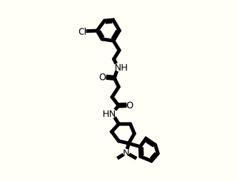 CN(C)C1(c2ccccc2)CCC(NC(=O)CCC(=O)NCCc2cccc(Cl)c2)CC1